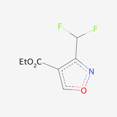 CCOC(=O)c1conc1C(F)F